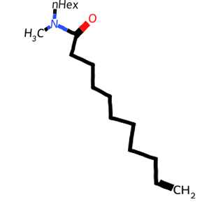 C=CCCCCCCCCC(=O)N(C)CCCCCC